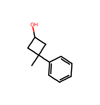 CC1(c2ccccc2)CC(O)C1